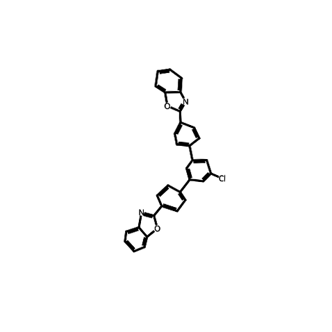 Clc1cc(-c2ccc(-c3nc4ccccc4o3)cc2)cc(-c2ccc(-c3nc4ccccc4o3)cc2)c1